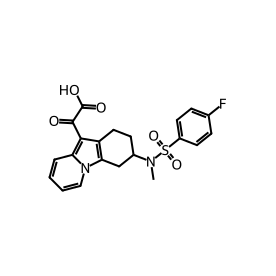 CN(C1CCc2c(C(=O)C(=O)O)c3ccccn3c2C1)S(=O)(=O)c1ccc(F)cc1